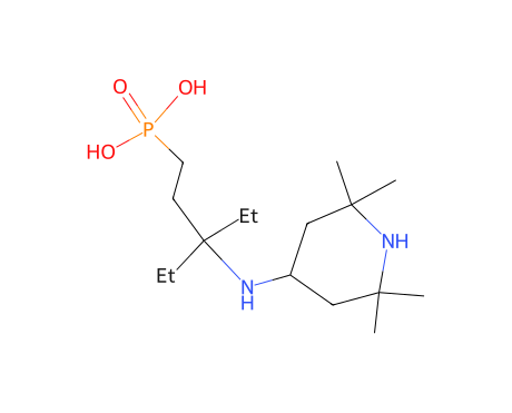 CCC(CC)(CCP(=O)(O)O)NC1CC(C)(C)NC(C)(C)C1